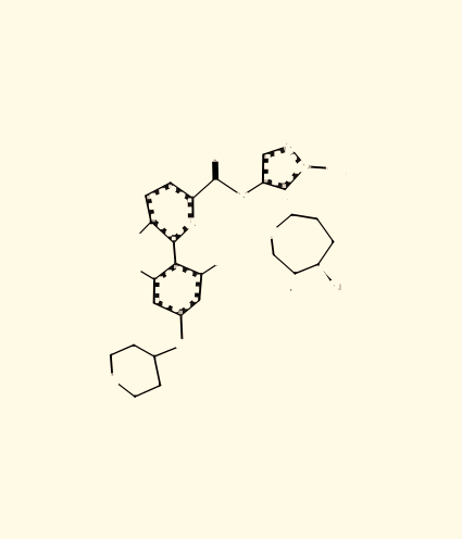 Cn1ncc(NC(=O)c2ccc(F)c(-c3c(F)cc(OC4CCOCC4)cc3F)n2)c1[C@@H]1CC[C@@H](N)[C@H](F)CO1